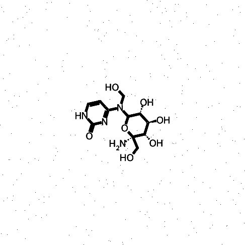 N[C@]1(CO)OC(N(CO)c2cc[nH]c(=O)n2)[C@H](O)[C@@H](O)[C@@H]1O